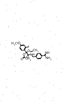 CCO[C@](OC(C)=O)(C(=O)NCc1ccc(C(=N)N)cc1)c1ccc(OC)cc1F